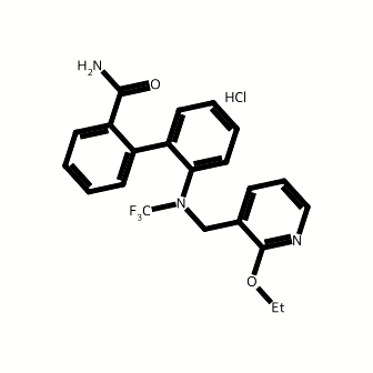 CCOc1ncccc1CN(c1ccccc1-c1ccccc1C(N)=O)C(F)(F)F.Cl